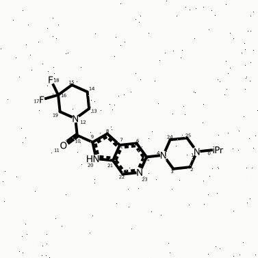 CC(C)N1CCN(c2cc3cc(C(=O)N4CCCC(F)(F)C4)[nH]c3cn2)CC1